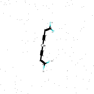 FC(F)=CC#[C][Ca][C]#CC=C(F)F